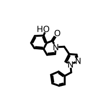 O=c1c2c(O)cccc2ccn1Cc1cnn(Cc2ccccc2)c1